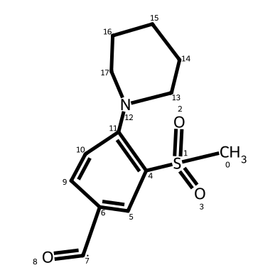 CS(=O)(=O)c1cc([C]=O)ccc1N1CCCCC1